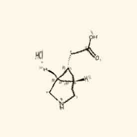 Cl.O=C(O)C[C@@H]1[C@@H]2CNC[C@@H]21